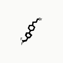 FC(F)=Cc1ccc(C2CCC(CCCBr)CC2)cc1